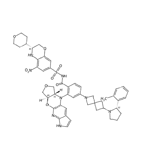 Cc1ccccc1[C@@H]1CCCN1C1CC2(C1)CN(c1ccc(C(=O)NS(=O)(=O)c3cc4c(c([N+](=O)[O-])c3)N[C@H](C3CCOCC3)CO4)c(N3c4cc5cc[nH]c5nc4O[C@H]4COC[C@@H]43)c1)C2